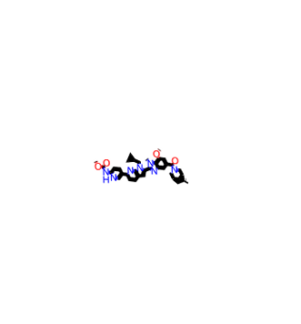 COC(=O)Nc1ccc(-c2ccc3cc(-c4nc5cc(C(=O)N6CC7CC(C6)[C@@H](C)C7)cc(OC)c5n4C)n(CC4CC4)c3n2)cn1